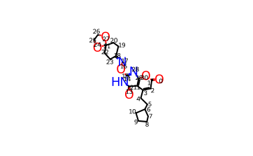 O=c1cc(CCC2CCCC2)c2c(=O)[nH]c(ON=C3CCC4(CC3)OCCO4)nc2o1